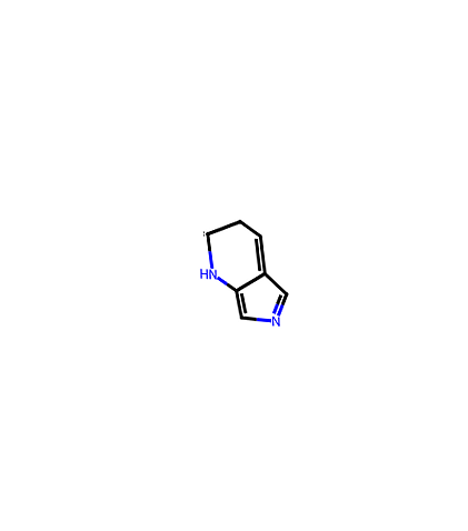 [C]1CC=C2C=NC=C2N1